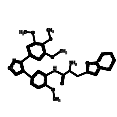 COc1ccc(-c2conc2-c2cc(OC)c(OC)c(OC)c2)cc1NC(=O)C(N)Cc1cc2ccccc2o1